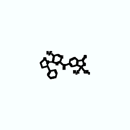 CC1(C)OC(=O)c2ccc(Nc3ncc(C(F)(F)F)c(N4OCCC4c4ccccc4)n3)cc21